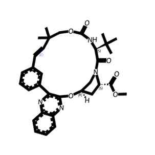 COC(=O)[C@@H]1C[C@@H]2CN1C(=O)[C@H](C(C)(C)C)NC(=O)OCC(C)(C)/C=C/c1cccc(c1)-c1nc3ccccc3nc1O2